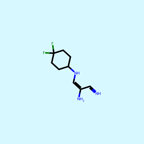 N=C/C(N)=C\NC1CCC(F)(F)CC1